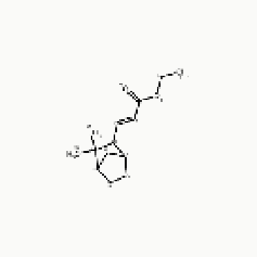 CCOC(=O)C=CC1C2CCC(C2)C1(C)C